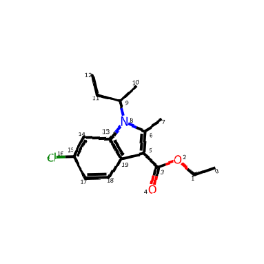 CCOC(=O)c1c(C)n(C(C)CC)c2cc(Cl)ccc12